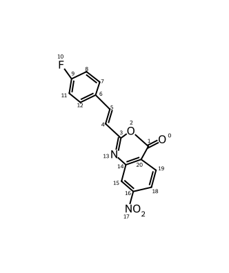 O=c1oc(/C=C/c2ccc(F)cc2)nc2cc([N+](=O)[O-])ccc12